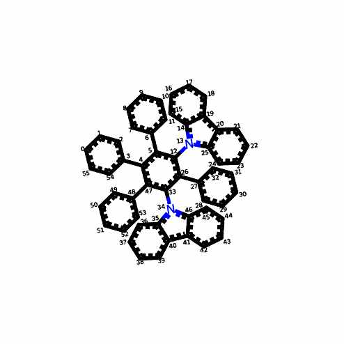 c1ccc(-c2c(-c3ccccc3)c(-n3c4ccccc4c4ccccc43)c(-c3ccccc3)c(-n3c4ccccc4c4ccccc43)c2-c2ccccc2)cc1